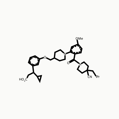 COc1ccc(C(=O)N2CCC(C#N)(CC(C)C)CC2)c(N2CCC(COc3cccc(C(CC(=O)O)C4CC4)c3)CC2)c1